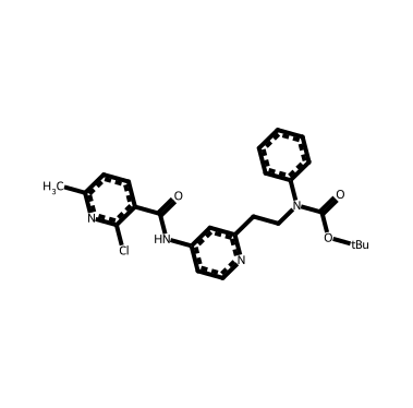 Cc1ccc(C(=O)Nc2ccnc(CCN(C(=O)OC(C)(C)C)c3ccccc3)c2)c(Cl)n1